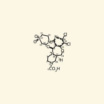 O=C(O)N1CCN2C(=O)c3c(N4CCS(=O)(=O)CC4)nc(Cl)c(Cl)c3OC[C@H]2C1